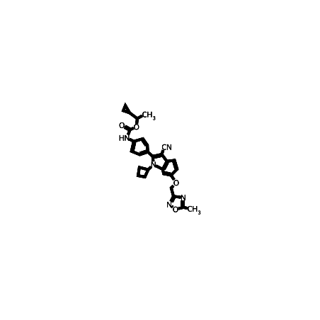 Cc1nc(COc2ccc3c(C#N)c(-c4ccc(NC(=O)OC(C)C5CC5)cc4)n(C4CCC4)c3c2)no1